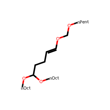 CCCCCCCCOC(CCC=COCOCCCCC)OCCCCCCCC